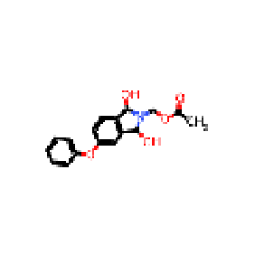 CC(=O)OCN1C(O)c2ccc(Oc3ccccc3)cc2C1O